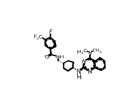 CN(C)c1nc(N[C@H]2CC[C@@H](CNC(=O)c3ccc(F)c(C(F)(F)F)c3)CC2)nc2ccccc12